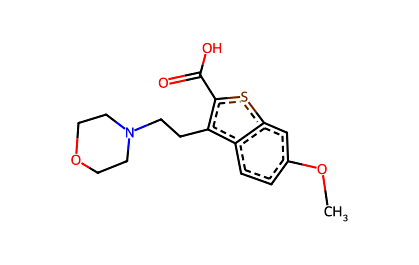 COc1ccc2c(CCN3CCOCC3)c(C(=O)O)sc2c1